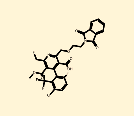 COC(=O)c1c(CF)nc(COCCN2C(=O)c3ccccc3C2=O)c(C(=O)O)c1-c1c(F)ccc(Cl)c1C(F)(F)F